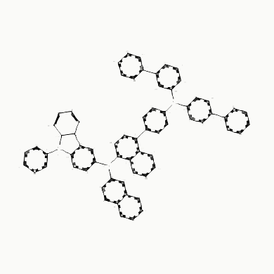 C1=CC2c3cc(N(c4ccc5ccccc5c4)c4ccc(-c5ccc(N(c6ccc(-c7ccccc7)cc6)c6cccc(-c7ccccc7)c6)cc5)c5ccccc45)ccc3N(c3ccccc3)C2C=C1